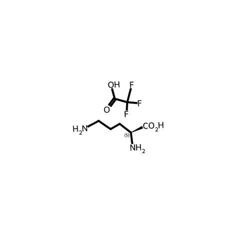 NCCC[C@H](N)C(=O)O.O=C(O)C(F)(F)F